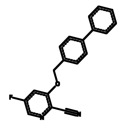 N#Cc1ncc(F)cc1OCc1ccc(-c2ccccc2)cc1